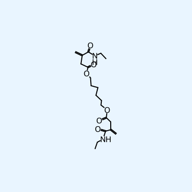 C=C(CC(=O)OCCCCCCOC(=O)CC(=C)C(=O)NCC)C(=O)NCC